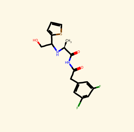 C[C@H](NC(CO)c1cccs1)C(=O)NC(=O)Cc1cc(F)cc(F)c1